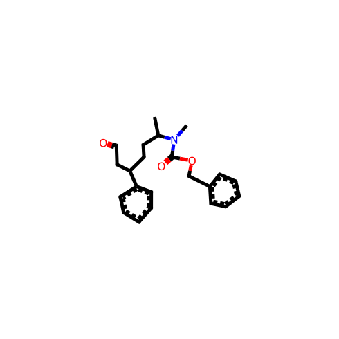 CC(CCC(CC=O)c1ccccc1)N(C)C(=O)OCc1ccccc1